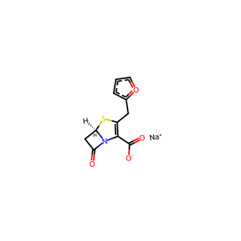 O=C([O-])C1=C(Cc2ccco2)S[C@@H]2CC(=O)N12.[Na+]